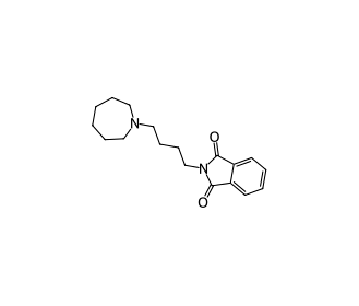 O=C1c2ccccc2C(=O)N1CCCCN1CCCCCC1